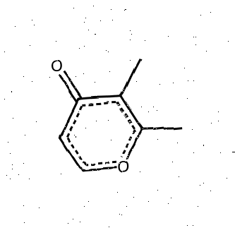 Cc1occc(=O)c1C